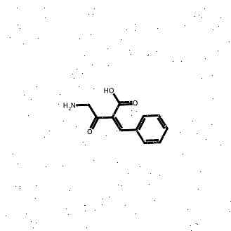 NCC(=O)C(=Cc1ccccc1)C(=O)O